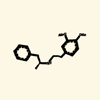 COc1ccc(CCN[C@@H](C)Cc2ccccc2)cc1OC